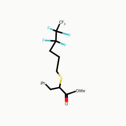 COC(=O)C(CC(C)C)SCCCC(F)(F)C(F)(F)C(F)(F)F